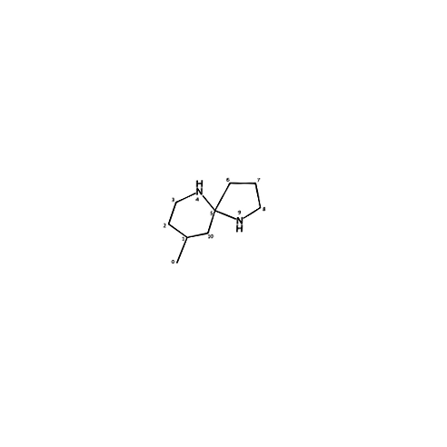 CC1CCNC2(CCCN2)C1